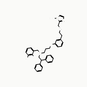 Cn1ccnc1CNCCc1cccc(OCCCN(Cc2cccc(C(F)(F)F)c2Cl)CC(c2ccccc2)c2ccccc2)c1